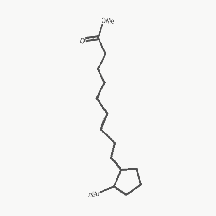 CCCCC1CCCC1CCCCCCCCC(=O)OC